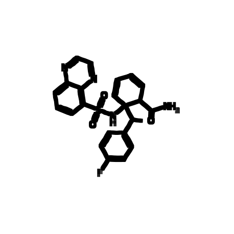 CC(c1ccc(F)cc1)C1(NS(=O)(=O)c2cccc3nccnc23)C=CC=CC1C(N)=O